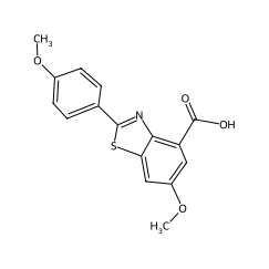 COc1ccc(-c2nc3c(C(=O)O)cc(OC)cc3s2)cc1